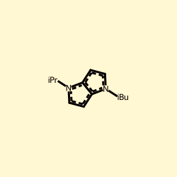 CCC(C)n1ccc2c1ccn2C(C)C